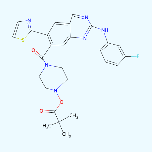 CC(C)(C)C(=O)ON1CCN(C(=O)c2cc3nc(Nc4cccc(F)c4)ncc3cc2-c2nccs2)CC1